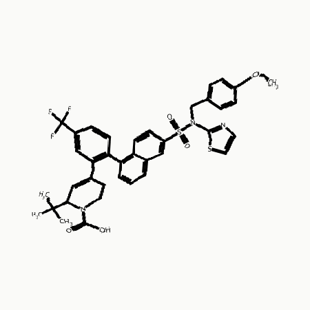 COc1ccc(CN(c2nccs2)S(=O)(=O)c2ccc3c(-c4ccc(C(F)(F)F)cc4C4=CC(C(C)(C)C)N(C(=O)O)CC4)cccc3c2)cc1